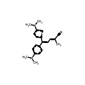 C/C(C#N)=C\C=C(c1ccc(N(C)C)cc1)c1ccc(N(C)C)cc1